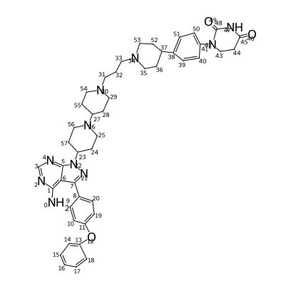 Nc1ncnc2c1c(-c1ccc(Oc3ccccc3)cc1)nn2C1CCN(C2CCN(CCCN3CCC(c4ccc(N5CCC(=O)NC5=O)cc4)CC3)CC2)CC1